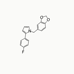 Fc1ccc(-c2cccn2Cc2ccc3c(c2)OCO3)cc1